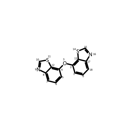 c1cc(Oc2cccc3ncsc23)c2scnc2c1